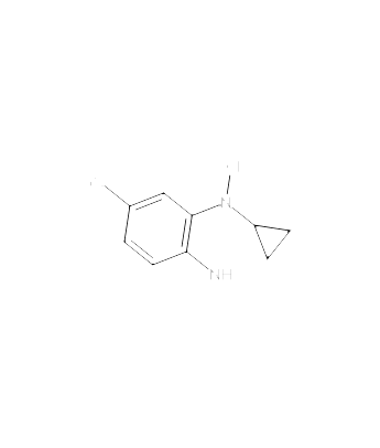 CN(c1cc(Cl)ccc1N)C1CC1